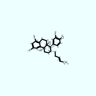 C/C=C/CC[C@@H]1CC[C@H]2c3cc(F)cc(F)c3CC[C@@H]2[C@H]1c1ccc(Cl)c(F)c1